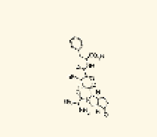 CCCC(NC(=O)[C@@H]1[C@H]2CCC(=O)[C@H]2CN1C(=O)[C@@H](N)C(C)(C)C)C(=O)C(=O)N[C@@H](Cc1ccccc1)C(=O)O